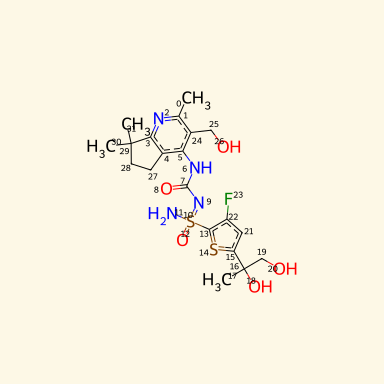 Cc1nc2c(c(NC(=O)N=S(N)(=O)c3sc(C(C)(O)CO)cc3F)c1CO)CCC2(C)C